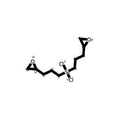 Cl[Si](Cl)(CCCC1CO1)CCCC1CO1